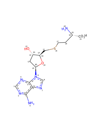 Nc1ncnc2c1ncn2[C@H]1C[C@H](O)[C@@H](CSCC[C@H](N)C(=O)O)O1